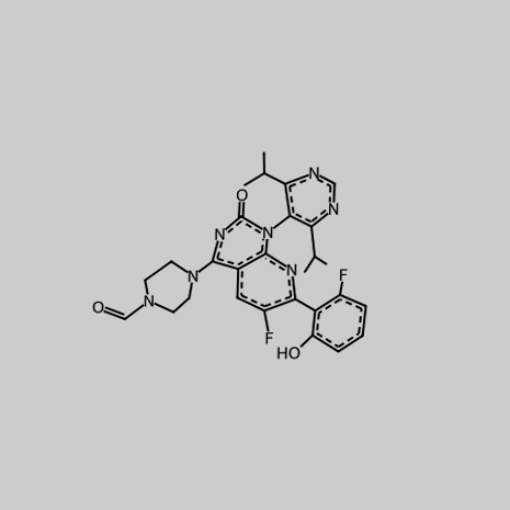 CC(C)c1ncnc(C(C)C)c1-n1c(=O)nc(N2CCN(C=O)CC2)c2cc(F)c(-c3c(O)cccc3F)nc21